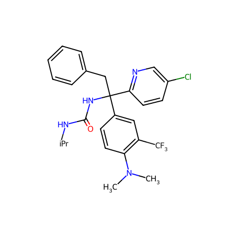 CC(C)NC(=O)NC(Cc1ccccc1)(c1ccc(N(C)C)c(C(F)(F)F)c1)c1ccc(Cl)cn1